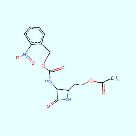 CC(=O)OCCC1NC(=O)C1NC(=O)OCc1ccccc1[N+](=O)[O-]